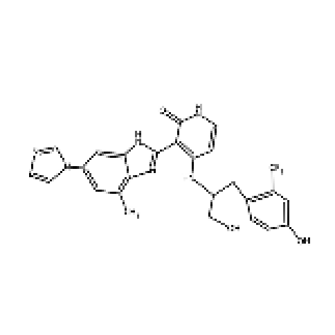 Cc1cc(-n2ccnc2)cc2[nH]c(-c3c(NC(CO)Cc4ccc(O)cc4C(F)(F)F)cc[nH]c3=O)nc12